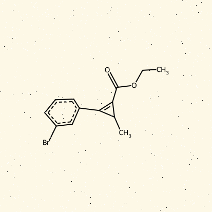 CCOC(=O)C1=C(c2cccc(Br)c2)C1C